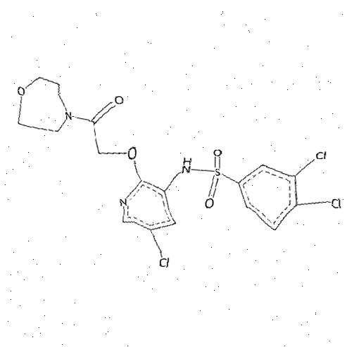 O=C(COc1ncc(Cl)cc1NS(=O)(=O)c1ccc(Cl)c(Cl)c1)N1CCOCC1